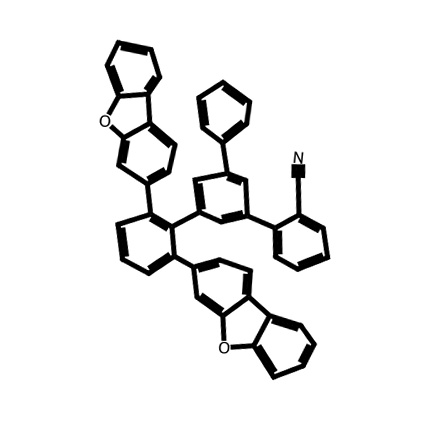 N#Cc1ccccc1-c1cc(-c2ccccc2)cc(-c2c(-c3ccc4c(c3)oc3ccccc34)cccc2-c2ccc3c(c2)oc2ccccc23)c1